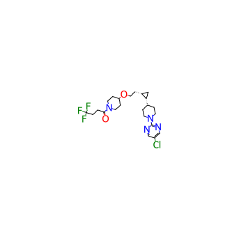 O=C(CCC(F)(F)F)N1CCC(OCC[C@@H]2C[C@@H]2C2CCN(c3ncc(Cl)cn3)CC2)CC1